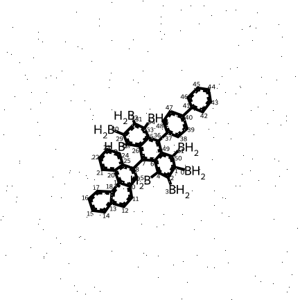 Bc1c(B)c(B)c2c(-c3cc4ccc5ccccc5c4c4ccccc34)c3c(B)c(B)c(B)c(B)c3c(-c3ccc(-c4ccccc4)cc3)c2c1B